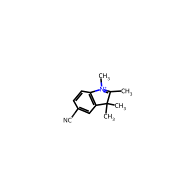 CC1=[N+](C)c2ccc(C#N)cc2C1(C)C